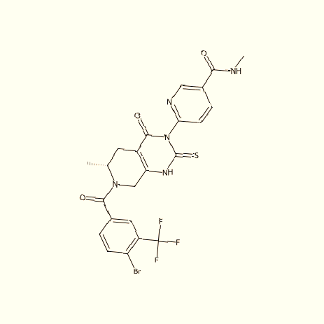 CNC(=O)c1ccc(-n2c(=S)[nH]c3c(c2=O)C[C@@H](C)N(C(=O)c2ccc(Br)c(C(F)(F)F)c2)C3)nc1